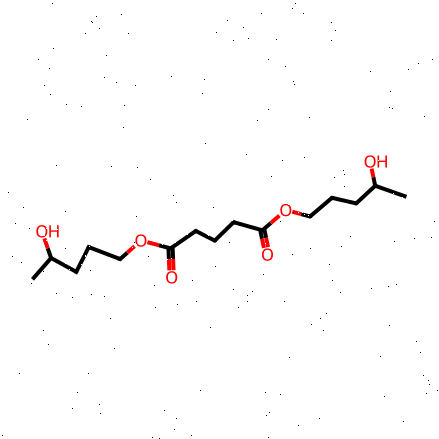 CC(O)CCCOC(=O)CCCC(=O)OCCCC(C)O